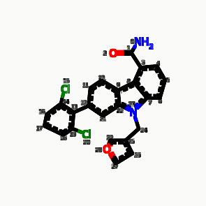 NC(=O)c1cccc2c1c1[c]cc(-c3c(Cl)cccc3Cl)cc1n2Cc1ccoc1